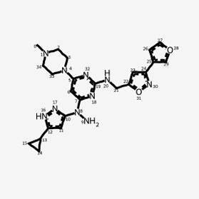 CN1CCN(c2cc(N(N)c3cc(C4CC4)[nH]n3)nc(NCc3cc(-c4ccoc4)no3)n2)CC1